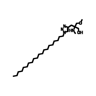 CCCCCCCCCCCCCCCCCCCCn1cc(CC(CO)(COC)NC)nn1